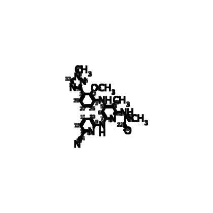 COc1c(Nc2cc(Nc3cccc(C#N)n3)nc(NN(C)C=O)c2C)cccc1-c1ncn(C)n1